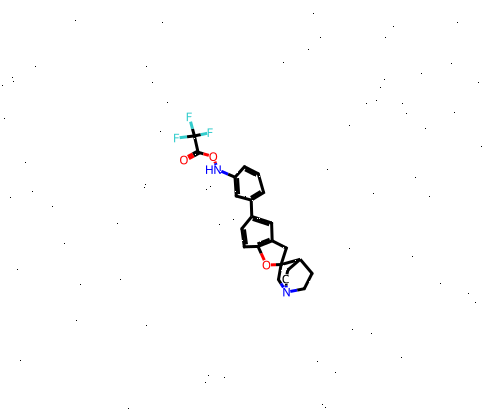 O=C(ONc1cccc(-c2ccc3c(c2)CC2(CN4CCC2CC4)O3)c1)C(F)(F)F